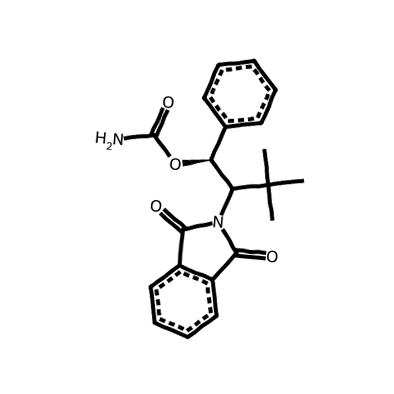 CC(C)(C)C([C@@H](OC(N)=O)c1ccccc1)N1C(=O)c2ccccc2C1=O